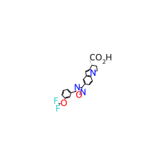 O=C(O)C[C@@H]1CCn2c1cc1cc(-c3noc(-c4cccc(OC(F)F)c4)n3)ccc12